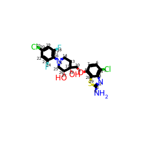 Nc1nc2c(Cl)ccc(OC[C@]3(O)CCN(c4c(F)cc(Cl)cc4F)C[C@H]3O)c2s1